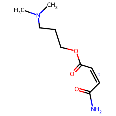 CN(C)CCCOC(=O)/C=C\C(N)=O